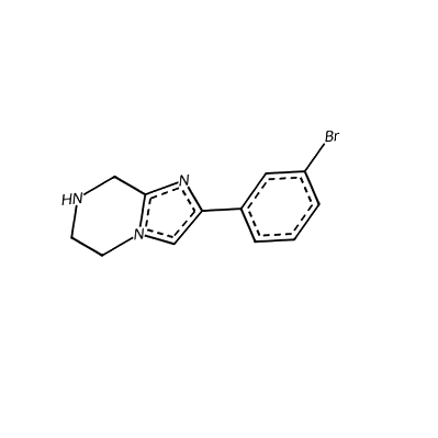 Brc1cccc(-c2cn3c(n2)CNCC3)c1